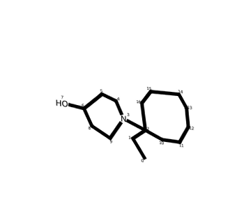 CCC1(N2CCC(O)CC2)CCCCCCC1